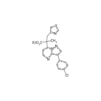 CCOC(=O)C(C)(Cc1cscn1)c1ccnc2c(-c3ccc(Cl)cc3)cnn12